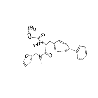 CN(Cc1ccco1)C(=O)C(Cc1ccc(-c2ccccc2)cc1)NC(=O)OC(C)(C)C